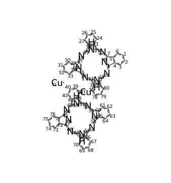 [Cu].c1ccc2c(c1)-c1nc-2nc2[nH]c(nc3nc(nc4[nH]c(n1)c1ccccc41)-c1ccccc1-3)c1[c]([Cu][c]3cccc4c5nc6nc(nc7[nH]c(nc8nc(nc([nH]5)c34)-c3ccccc3-8)c3ccccc73)-c3ccccc3-6)cccc21